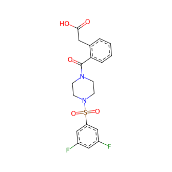 O=C(O)Cc1ccccc1C(=O)N1CCN(S(=O)(=O)c2cc(F)cc(F)c2)CC1